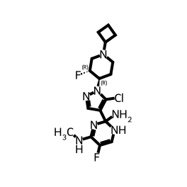 CNC1=NC(N)(c2cnn([C@@H]3CCN(C4CCC4)C[C@H]3F)c2Cl)NC=C1F